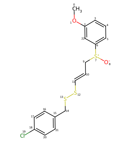 COc1cccc([S+]([O-])CC=CSSCc2ccc(Cl)cc2)c1